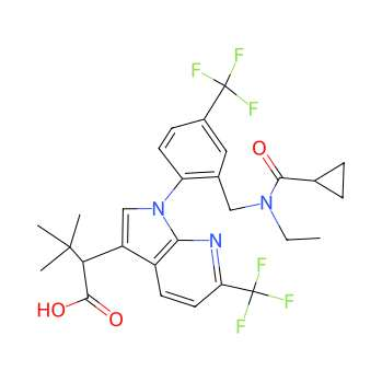 CCN(Cc1cc(C(F)(F)F)ccc1-n1cc(C(C(=O)O)C(C)(C)C)c2ccc(C(F)(F)F)nc21)C(=O)C1CC1